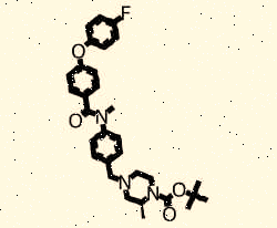 C[C@H]1CN(Cc2ccc(N(C)C(=O)c3ccc(Oc4ccc(F)cc4)cc3)cc2)CCN1C(=O)OC(C)(C)C